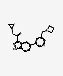 O=C(NC1CC1)c1n[nH]c2ccc(-c3cncc(CN4CCC4)c3)cc12